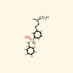 CC(CCc1cccc(P(=O)(O)Cc2ccccc2)c1)C(=O)O